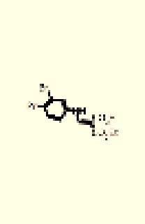 CCOC(=O)C(=CNc1ccc(C(C)C)c(Br)c1)C(=O)OCC